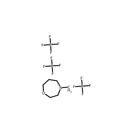 CN1CCCOCC1.F[B-](F)(F)F.F[B-](F)(F)F.F[B-](F)(F)F